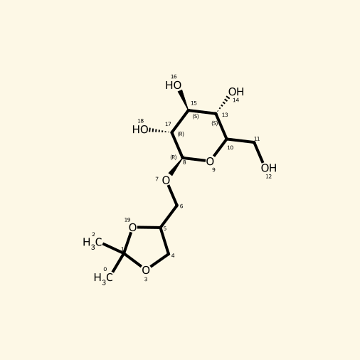 CC1(C)OCC(CO[C@@H]2OC(CO)[C@@H](O)[C@H](O)[C@H]2O)O1